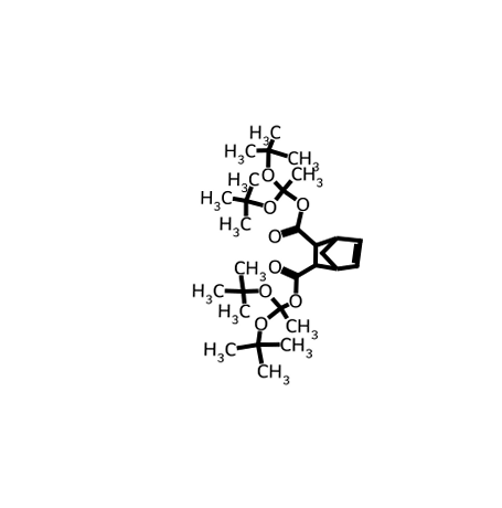 CC(C)(C)OC(C)(OC(=O)C1C2C=CC(C2)C1C(=O)OC(C)(OC(C)(C)C)OC(C)(C)C)OC(C)(C)C